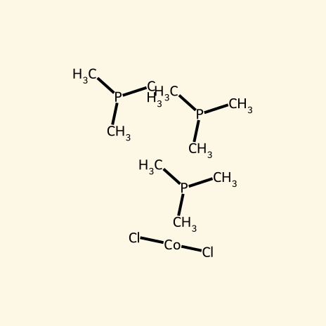 CP(C)C.CP(C)C.CP(C)C.[Cl][Co][Cl]